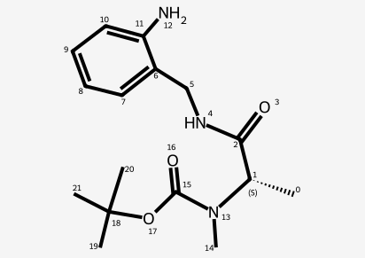 C[C@@H](C(=O)NCc1ccccc1N)N(C)C(=O)OC(C)(C)C